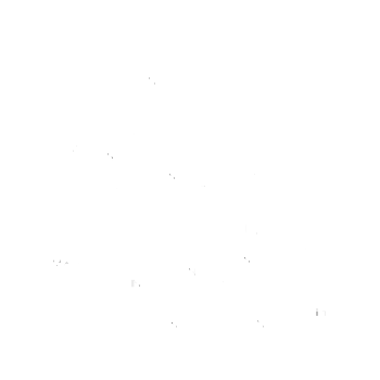 C=CC(=O)Nc1cc(Nc2ncc3nc(C(C)C)c(=O)n(C)c3n2)c(OC)cc1N(C)CCN(C)C